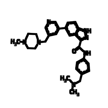 CN(C)Cc1ccc(NC(=O)c2n[nH]c3ccc(-c4cncc(CN5CCN(C)CC5)c4)cc23)cc1